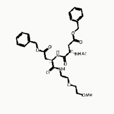 COCCOCCNC(=O)[C@@H](CC(=O)OCc1ccccc1)NC(=O)[C@H](CC(=O)OCc1ccccc1)NC(C)=O